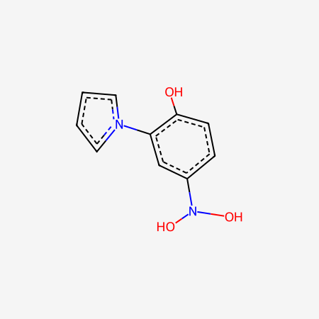 Oc1ccc(N(O)O)cc1-n1cccc1